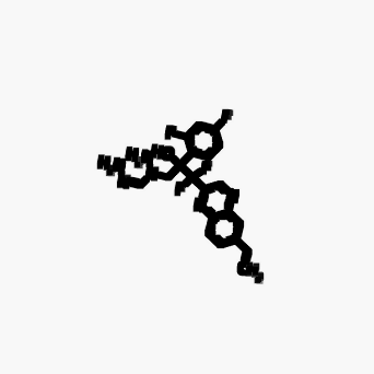 C=Cc1ccc2nc(C(F)(F)C(O)(CN(N)/C=N\N)c3ccc(F)cc3F)cnc2c1